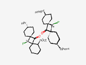 CCCCCCCC1CC[C@]2(CC1)C(=O)[C@@]1(CC[C@H](CCCCC)CC1)[C@@H]2F.CCCCCCCCC1CCCCC12C(=O)[C@]1(CC[C@@H](CCC)CC1)[C@@H]2F